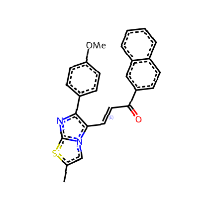 COc1ccc(-c2nc3sc(C)cn3c2/C=C/C(=O)c2ccc3ccccc3c2)cc1